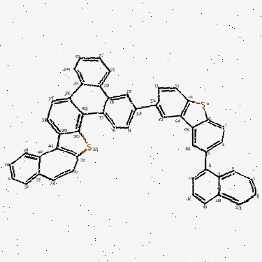 c1ccc2c(-c3ccc4sc5ccc(-c6ccc7c(c6)c6ccccc6c6ccc8c(sc9ccc%10ccccc%10c98)c67)cc5c4c3)cccc2c1